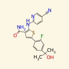 CC(C)(O)c1ccc(-c2cc(C(N)=O)c(Nc3ccc(C#N)cn3)s2)c(F)c1